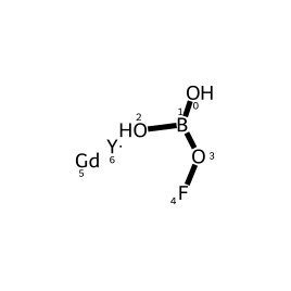 OB(O)OF.[Gd].[Y]